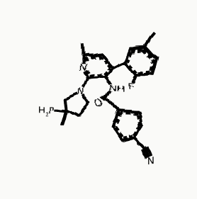 Cc1ccc(F)c(-c2cc(C)nc(N3CCC(C)(P)C3)c2NC(=O)c2ccc(C#N)cc2)c1